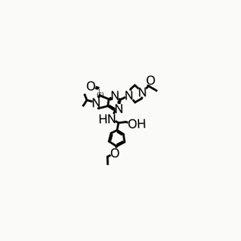 CCOc1ccc(C(CO)Nc2nc(N3CCN(C(C)=O)CC3)nc3c2CN(C(C)C)[C@@H]3C=O)cc1